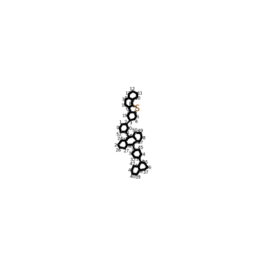 c1cc(-c2ccc3sc4c5ccccc5ccc4c3c2)cc(-c2c3ccccc3c(-c3ccc(-c4cccc5ccccc45)cc3)c3ccccc23)c1